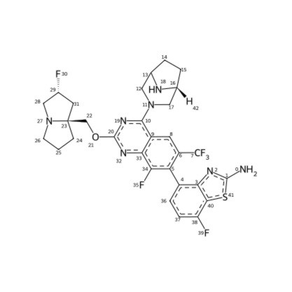 Nc1nc2c(-c3c(C(F)(F)F)cc4c(N5CC6CC[C@H](C5)N6)nc(OC[C@@]56CCCN5C[C@H](F)C6)nc4c3F)ccc(F)c2s1